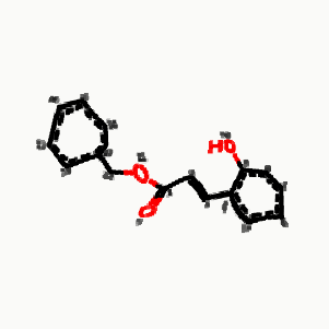 O=C(C=Cc1ccccc1O)OCc1ccccc1